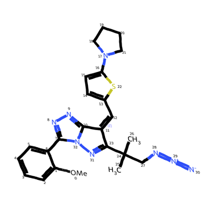 COc1ccccc1-c1nnc2/c(=C\c3ccc(N4CCCC4)s3)c(C(C)(C)CN=[N+]=[N-])nn12